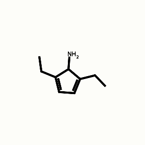 CCC1=CC=C(CC)C1N